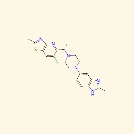 Cc1nc2cc(N3CCN([C@@H](C)c4nc5nc(C)sc5cc4F)CC3)ccc2[nH]1